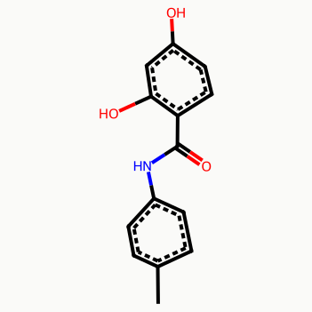 Cc1ccc(NC(=O)c2ccc(O)cc2O)cc1